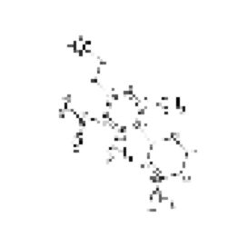 CCCc1cc(C)c(C2C=C(C)CCC2)c(C)c1C(C)=O